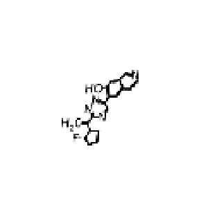 C=C(c1ncc(-c2cc3ccncc3cc2O)nn1)[C@H]1CCC[C@@H]1F